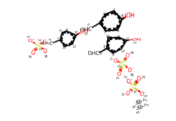 O=Cc1ccc(O)cc1.O=Cc1ccc(O)cc1.O=Cc1ccc(O)cc1.O=S(=O)([O-])[O-].O=S(=O)([O-])[O-].O=S(=O)([O-])[O-].[Sb+3].[Sb+3]